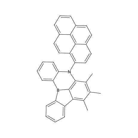 Cc1c(C)c2c3c(c1C)N(c1ccc4ccc5cccc6ccc1c4c56)c1ccccc1B3c1ccccc1-2